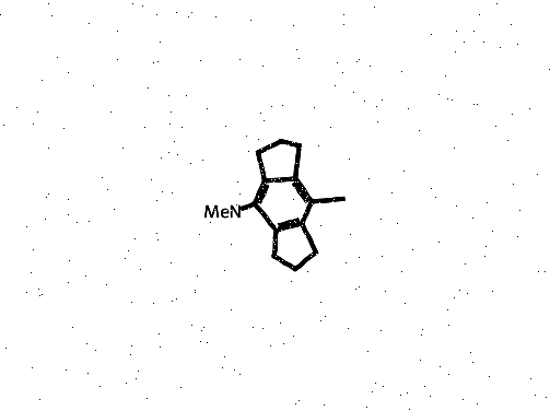 CNc1c2c(c(C)c3c1CCC3)CCC2